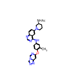 CC(=O)N[C@H]1CCCN(c2ccc3ncnc(Nc4ccc(Oc5cc6nncn6cn5)c(C)c4)c3c2)C1